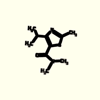 Cc1nc(C(C)C)c(C(=O)N(C)C)s1